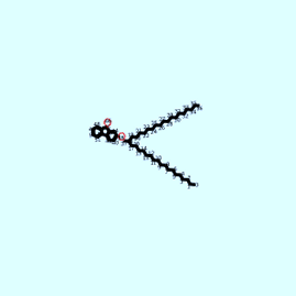 CCCCCCCCCCCCCCCCCCC(CCCCCCCCCCCCCCCCCC)COc1ccc2c(c1)C(=O)c1ccccc1-2